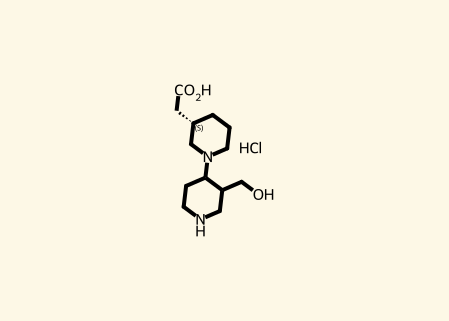 Cl.O=C(O)C[C@@H]1CCCN(C2CCNCC2CO)C1